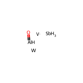 [O]=[AlH].[SbH3].[V].[W]